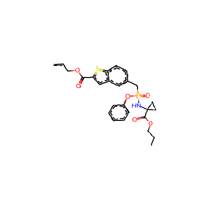 C=CCOC(=O)c1cc2cc(CP(=O)(NC3(C(=O)OCCC)CC3)Oc3ccccc3)ccc2s1